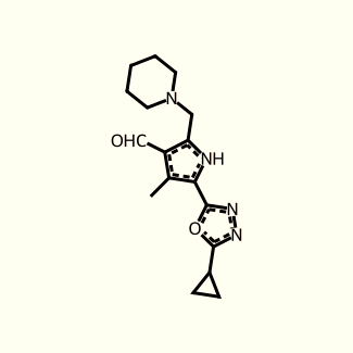 Cc1c(-c2nnc(C3CC3)o2)[nH]c(CN2CCCCC2)c1C=O